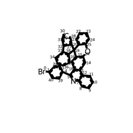 Brc1ccc(-c2nc3ccccc3c3cc4c(cc23)C2(c3ccccc3O4)c3ccccc3-c3ccccc32)cc1